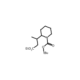 CCOC(=O)CC(C)C1CCCCN1C(=O)OC(C)(C)C